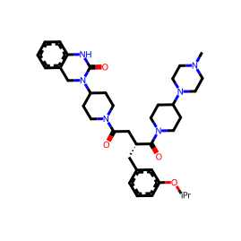 CC(C)Oc1cccc(C[C@H](CC(=O)N2CCC(N3Cc4ccccc4NC3=O)CC2)C(=O)N2CCC(N3CCN(C)CC3)CC2)c1